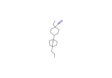 CCCC12CCC(C3CCC(C#N)(CC)CC3)(CC1)CC2